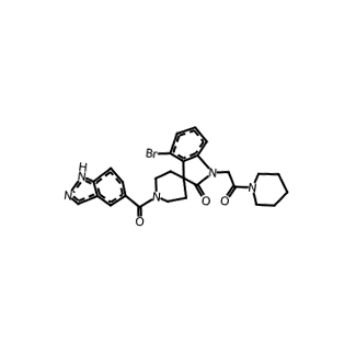 O=C(CN1C(=O)C2(CCN(C(=O)c3ccc4[nH]ncc4c3)CC2)c2c(Br)cccc21)N1CCCCC1